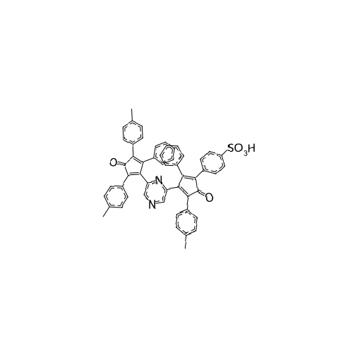 Cc1ccc(C2=C(c3ccccc3)C(c3cncc(C4=C(c5ccc(C)cc5)C(=O)C(c5ccc(S(=O)(=O)O)cc5)=C4c4ccccc4)n3)=C(c3ccc(C)cc3)C2=O)cc1